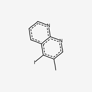 Cc1cnc2ncccc2c1I